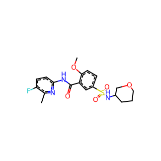 COc1ccc(S(=O)(=O)NC2CCCOC2)cc1C(=O)Nc1ccc(F)c(C)n1